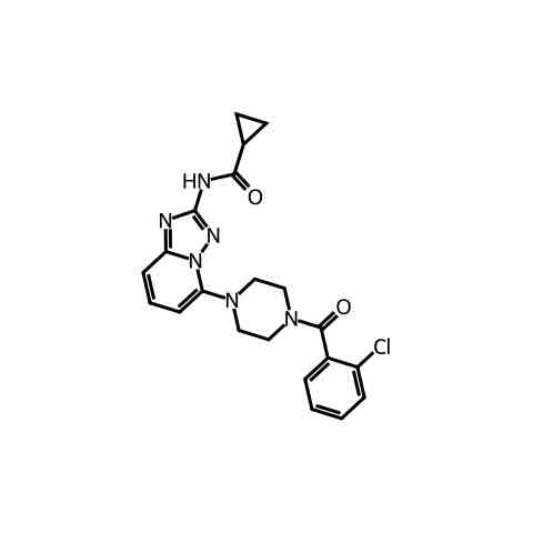 O=C(Nc1nc2cccc(N3CCN(C(=O)c4ccccc4Cl)CC3)n2n1)C1CC1